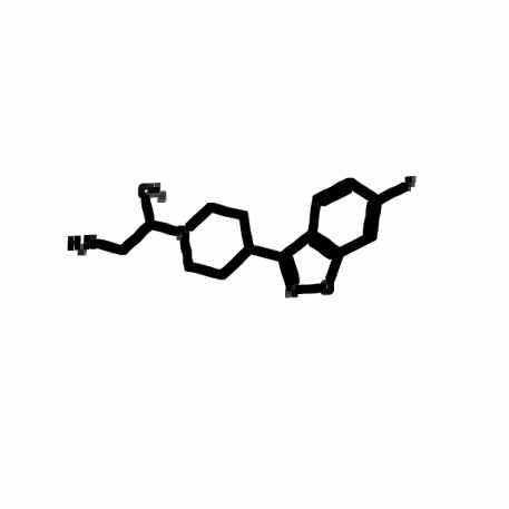 CC(CN)N1CCC(c2noc3cc(F)ccc23)CC1